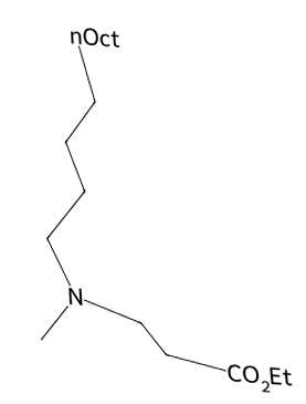 CCCCCCCCCCCCN(C)CCC(=O)OCC